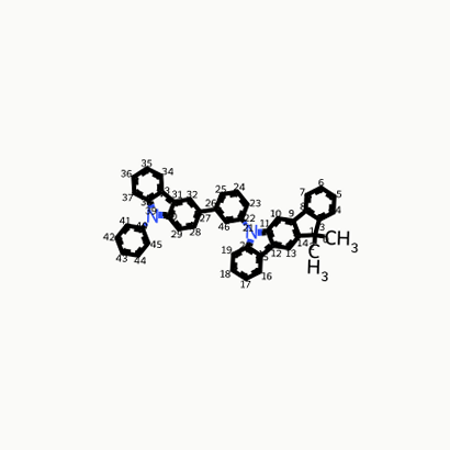 CC1(C)c2ccccc2-c2cc3c(cc21)c1ccccc1n3-c1cccc(-c2ccc3c(c2)c2ccccc2n3-c2ccccc2)c1